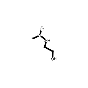 CCN(C)NCCO